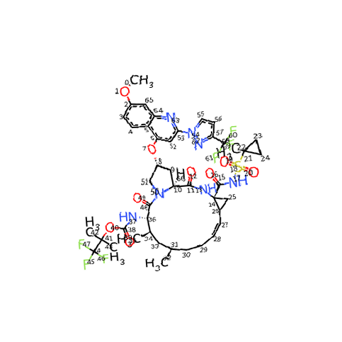 COc1ccc2c(O[C@@H]3C[C@H]4C(=O)N[C@]5(C(=O)NS(=O)(=O)C6(C)CC6)CC5/C=C\CC[C@@H](C)C[C@@H](C)[C@H](NC(=O)OC(C)(C)C(F)(F)F)C(=O)N4C3)cc(-n3ccc(C(F)(F)F)n3)nc2c1